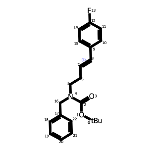 CC(C)(C)OC(=O)N(CC/C=C/c1ccc(F)cc1)Cc1ccccc1